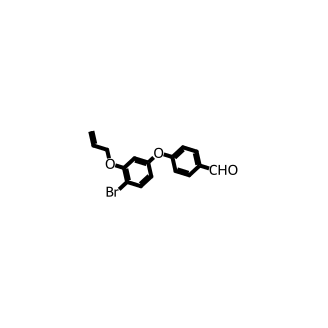 C=CCOc1cc(Oc2ccc(C=O)cc2)ccc1Br